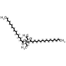 CCCCCCCCCCCCCCCC(=O)O[Si](CCC)(CCC)OC(=O)CCCCCCCCCCCCCCC